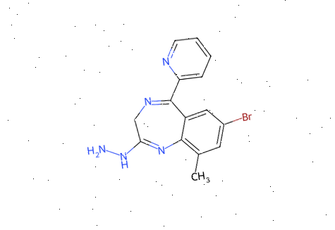 Cc1cc(Br)cc2c1N=C(NN)CN=C2c1ccccn1